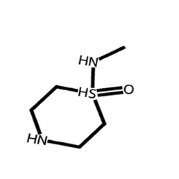 CN[SH]1(=O)CCNCC1